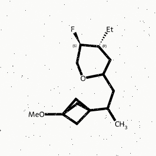 CC[C@@H]1CC(CC(C)C23CC(OC)(C2)C3)OC[C@H]1F